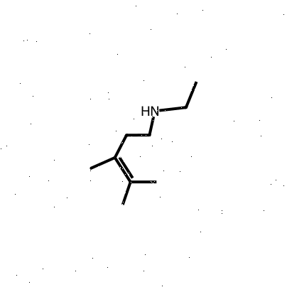 CCNCCC(C)=C(C)C